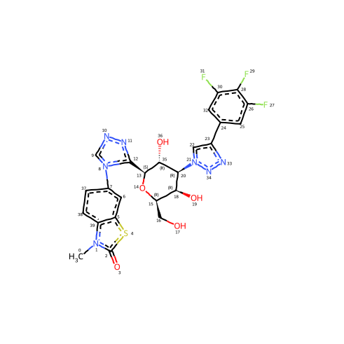 Cn1c(=O)sc2cc(-n3cnnc3[C@@H]3O[C@H](CO)[C@H](O)[C@H](n4cc(-c5cc(F)c(F)c(F)c5)nn4)[C@H]3O)ccc21